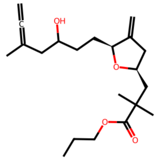 C=C=C(C)CC(O)CC[C@@H]1O[C@H](CC(C)(C)C(=O)OCCC)CC1=C